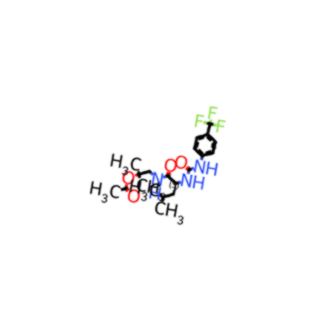 CC(=O)OC(C)(C)CNC(=O)[C@H](CC(C)C)NC(=O)Nc1ccc(C(F)(F)F)cc1